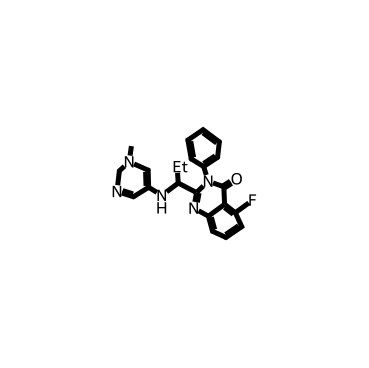 CCC(NC1=CN(C)CN=C1)c1nc2cccc(F)c2c(=O)n1-c1ccccc1